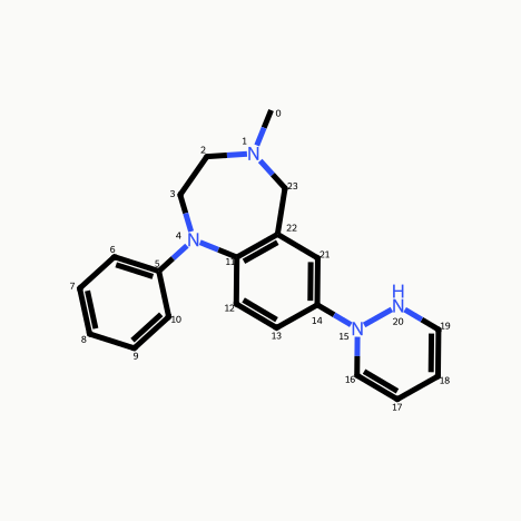 CN1CCN(c2ccccc2)c2ccc(N3C=CC=CN3)cc2C1